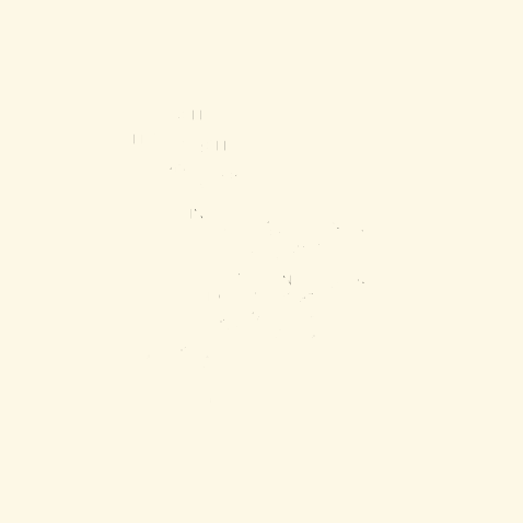 CC(C)(C)OC(=O)NCCC(C)(C)C(C(=O)OCc1ccccc1)N1C(=O)c2ccccc2C1=O